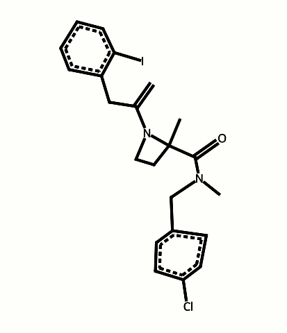 C=C(Cc1ccccc1I)N1CCC1(C)C(=O)N(C)Cc1ccc(Cl)cc1